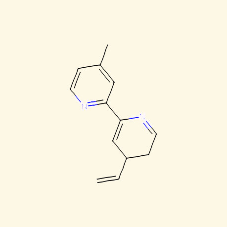 C=CC1C=C(c2cc(C)ccn2)N=CC1